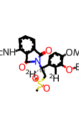 [2H]c1c([C@@]([2H])(CS(C)(=O)=O)N2C(=O)c3cccc(NC(C)=O)c3C2=O)ccc(OC)c1OCC